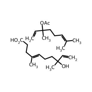 C=CC(C)(CCC=C(C)C)OC(C)=O.C=CC(C)(O)CCC=C(C)CCC(=O)O